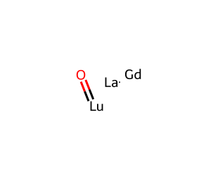 [Gd].[La].[O]=[Lu]